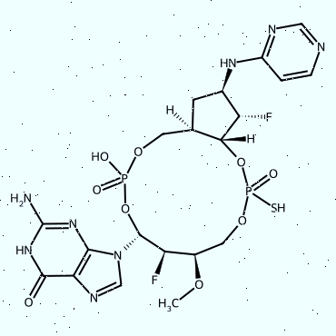 CO[C@@H]1COP(=O)(S)O[C@@H]2[C@@H](COP(=O)(O)O[C@@H](n3cnc4c(=O)[nH]c(N)nc43)[C@@H]1F)C[C@@H](Nc1ccncn1)[C@@H]2F